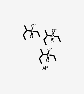 CCC(C)P(=O)([O-])CC.CCC(C)P(=O)([O-])CC.CCC(C)P(=O)([O-])CC.[Al+3]